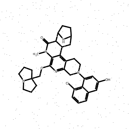 CN1C(=O)C2C3CCC(CC2c2c4c(nc(OCC56CCCN5CCC6)c21)CN(c1cc(O)cc2cccc(Cl)c12)CC4)N3